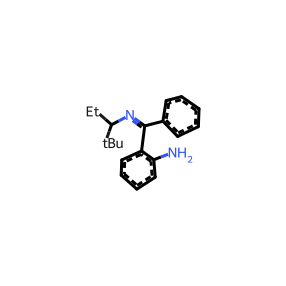 CCC(/N=C(/c1ccccc1)c1ccccc1N)C(C)(C)C